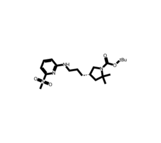 CC(C)(C)OC(=O)N1C[C@@H](CCCNc2cccc(S(C)(=O)=O)n2)CC1(C)C